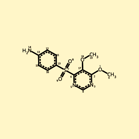 COc1ncnc(S(=O)(=O)c2ccc(N)cc2)c1OC